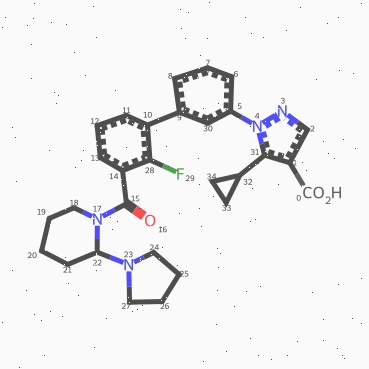 O=C(O)c1cnn(-c2cccc(-c3cccc(C(=O)N4CCCCC4N4CCCC4)c3F)c2)c1C1CC1